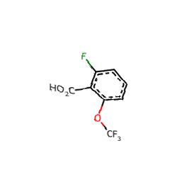 O=C(O)c1c(F)cccc1OC(F)(F)F